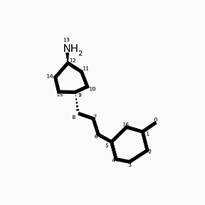 CC1CCCC(CCC[C@H]2CC[C@H](N)CC2)C1